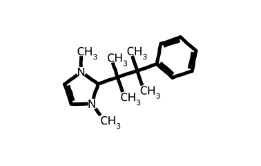 CN1C=CN(C)C1C(C)(C)C(C)(C)c1ccccc1